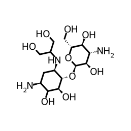 N[C@@H]1[C@@H](O)[C@@H](O[C@H]2[C@H](NC(CO)CO)C[C@H](N)C(O)[C@@H]2O)O[C@H](CO)[C@H]1O